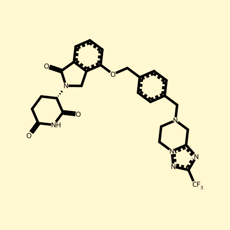 O=C1CC[C@H](N2Cc3c(OCc4ccc(CN5CCn6nc(C(F)(F)F)nc6C5)cc4)cccc3C2=O)C(=O)N1